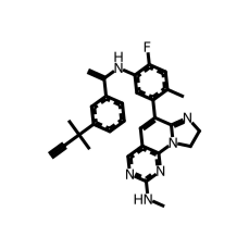 C#CC(C)(C)c1cccc(C(=C)Nc2cc(C3=Cc4cnc(NC)nc4N4CCN=C34)c(C)cc2F)c1